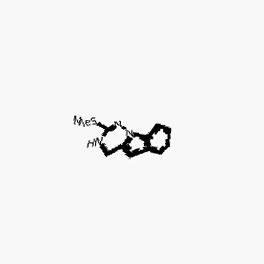 CSC1=Nn2c(cc3ccccc32)CN1